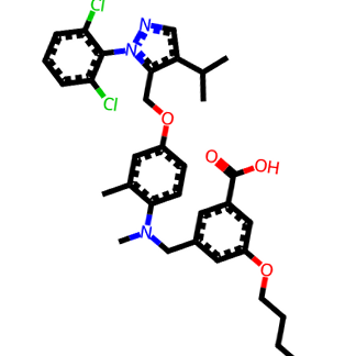 CCCCOc1cc(CN(C)c2ccc(OCc3c(C(C)C)cnn3-c3c(Cl)cccc3Cl)cc2C)cc(C(=O)O)c1